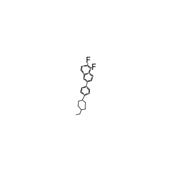 CCC1CCC(c2ccc(-c3ccc4c(F)c(F)ccc4c3)cc2)CC1